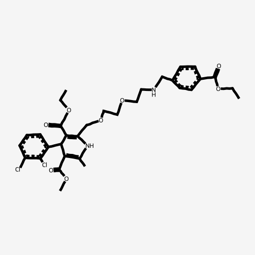 CCOC(=O)C1=C(COCCOCCNCc2ccc(C(=O)OCC)cc2)NC(C)=C(C(=O)OC)C1c1cccc(Cl)c1Cl